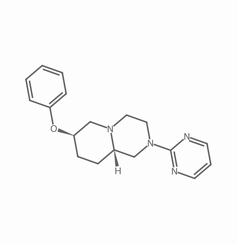 c1ccc(O[C@@H]2CC[C@H]3CN(c4ncccn4)CCN3C2)cc1